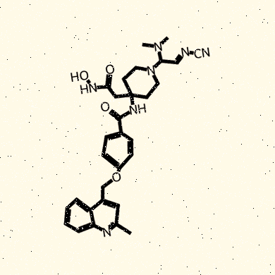 Cc1cc(COc2ccc(C(=O)NC3(CC(=O)NO)CCN(C(C=NC#N)N(C)C)CC3)cc2)c2ccccc2n1